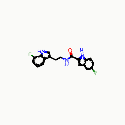 O=C(NCCc1c[nH]c2c(F)cccc12)c1cc2cc(F)ccc2[nH]1